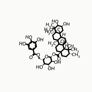 C[C@@H]1CC[C@]2(C(=O)O[C@H]3O[C@@H](COC(=O)c4cc(O)c(O)c(O)c4)[C@H](O)[C@@H](O)[C@@H]3O)CC[C@]3(C)C(=CC[C@@H]4[C@@]5(C)C[C@@H](O)[C@H](O)C(C)(C)[C@]5(C)CC[C@]43C)[C@@H]2C1(C)C